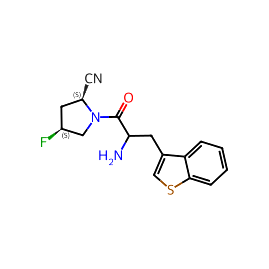 N#C[C@@H]1C[C@H](F)CN1C(=O)C(N)Cc1csc2ccccc12